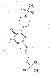 CC(C)(C)[Si](C)(C)OC/C=C/c1c[nH]c(=O)c(N2CCN(S(C)(=O)=O)CC2)n1